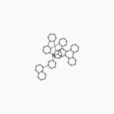 c1cc(-c2cccc3ccccc23)cc(N(c2ccc3c4ccccc4c4ccccc4c3c2)c2cccc3c2C2(c4ccccc4-c4ccccc42)c2ccccc2-3)c1